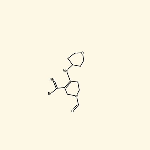 N=C(Br)C1=C(NC2CCOCC2)CCN(C=O)C1